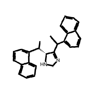 CC(C1=N[C]N[C@@H]1C(C)c1cccc2ccccc12)c1cccc2ccccc12